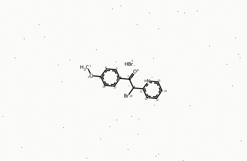 Br.COc1ccc(C(=O)C(Br)c2ccccn2)cc1